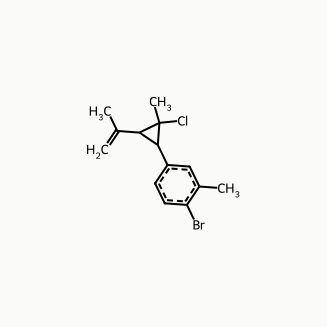 C=C(C)C1C(c2ccc(Br)c(C)c2)C1(C)Cl